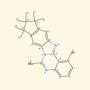 CC(C)c1cccc2nc(C(C)(C)C)n3c4cc5c(cc4nc3c12)C(C)(C)C(C)(C)C5(C)C